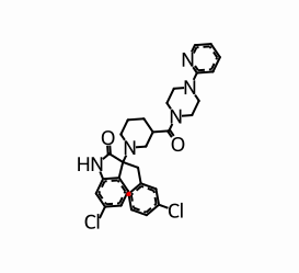 O=C(C1CCCN(C2(Cc3cccc(Cl)c3)C(=O)Nc3cc(Cl)ccc32)C1)N1CCN(c2ccccn2)CC1